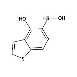 OBc1ccc2sccc2c1O